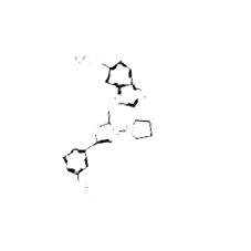 CSc1ccc2nc([C@@H]3CCCN3N3[C]=C(c4cccc(C(F)(F)F)c4)SC3C)[nH]c2c1